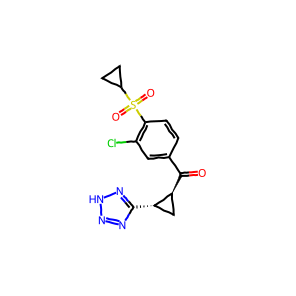 O=C(c1ccc(S(=O)(=O)C2CC2)c(Cl)c1)[C@H]1C[C@@H]1c1nn[nH]n1